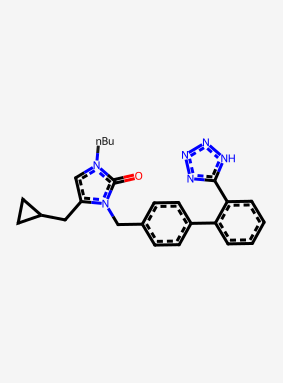 CCCCn1cc(CC2CC2)n(Cc2ccc(-c3ccccc3-c3nnn[nH]3)cc2)c1=O